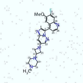 COc1cc2c(-c3cnc4cc(N5CC(N6CCN(C)CC6)C5)cnn34)ccnc2cc1F